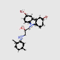 Cc1ccc(C)c(NCC(O)Cn2c3ccc(Br)cc3c3cc(Br)ccc32)c1